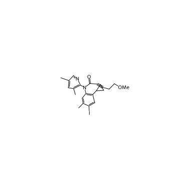 COCCC#CC(=O)N(c1cc(C)c(I)cc1C1CC1)c1ncc(C)cc1C